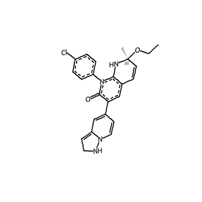 CCO[C@@]1(C)C=Cc2cc(C3=CC4=CCNN4C=C3)c(=O)n(-c3ccc(Cl)cc3)c2N1